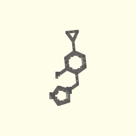 Fc1cc(C2CC2)ccc1Cn1ccnc1